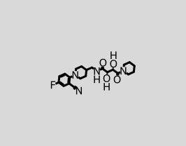 N#Cc1cc(F)ccc1N1CCC(CNC(=O)[C@H](O)[C@@H](O)C(=O)N2CCCCC2)CC1